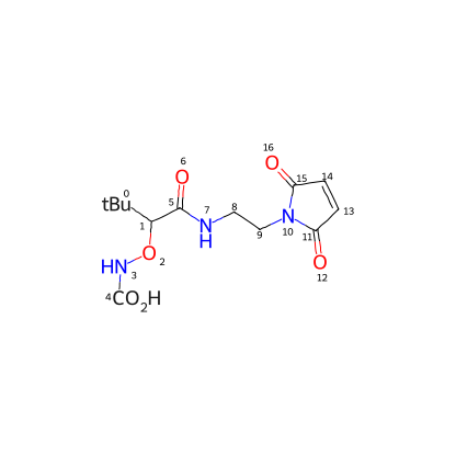 CC(C)(C)C(ONC(=O)O)C(=O)NCCN1C(=O)C=CC1=O